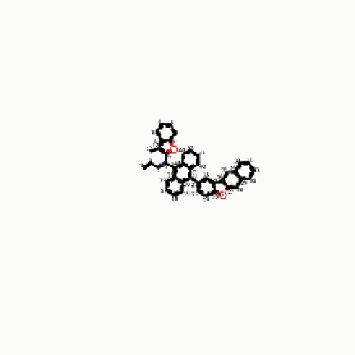 C=C/C=C(\c1oc2ccccc2c1C)c1c2ccccc2c(-c2ccc3oc4cc5ccccc5cc4c3c2)c2ccccc12